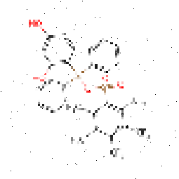 O=S(=O)(OS(c1ccccc1)(c1ccccc1)c1ccc(O)cc1O)c1c(C(F)(F)F)c(C(F)(F)F)c(C(F)(F)F)c(C(F)(F)F)c1C(F)(F)F